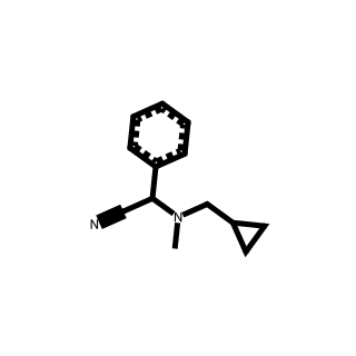 CN(CC1CC1)C(C#N)c1ccccc1